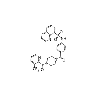 O=C(c1ccc(NS(=O)(=O)c2cccc3cccnc23)cc1)N1CCN(C(=O)c2ncccc2C(F)(F)F)CC1